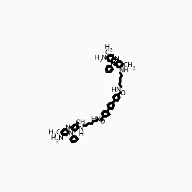 Cc1cc2nc3cc(C)c(NCCCCCCNC(=O)c4ccc(-c5ccc(-c6ccc(C(=O)NCCCCCCNc7cc8c(cc7C)nc7cc(C)c(N)cc7[n+]8-c7ccccc7)cc6)cc5)cc4)cc3[n+](-c3ccccc3)c2cc1N